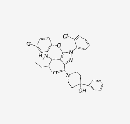 CCC(C)C(N)c1c(C(=O)N2CCC(O)(c3ccccc3)CC2)nn(-c2ccccc2Cl)c1Oc1ccc(Cl)cc1